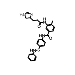 Cc1ccc(C(=O)Nc2ccc(SNc3ccccc3)cc2)cc1NC(=O)CCC1CNC=N1